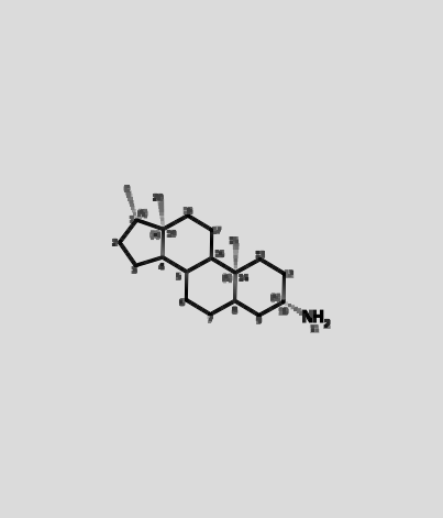 C[C@H]1CCC2C3CCC4C[C@@H](N)CC[C@]4(C)C3CC[C@@]21C